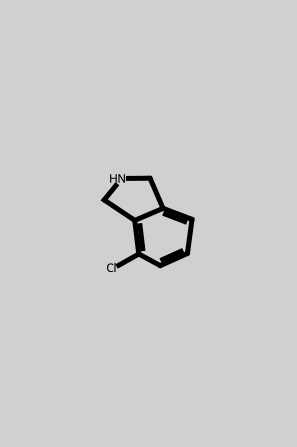 Clc1cccc2c1CNC2